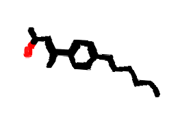 CCCCCCc1ccc(/C(C)=C/C(C)=O)cc1